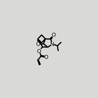 C=CC(=O)OC1C2C3OC14CC3(C4)C(=O)N2C(C)C